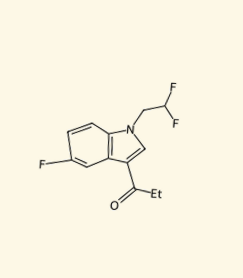 CCC(=O)c1cn(CC(F)F)c2ccc(F)cc12